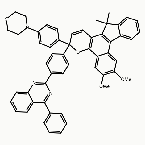 COc1cc2c3c(c4c(c2cc1OC)-c1ccccc1C4(C)C)C=CC(c1ccc(-c2nc(-c4ccccc4)c4ccccc4n2)cc1)(c1ccc(N2CCSCC2)cc1)O3